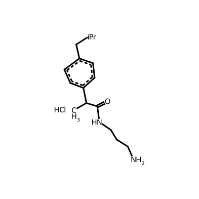 CC(C)Cc1ccc(C(C)C(=O)NCCCN)cc1.Cl